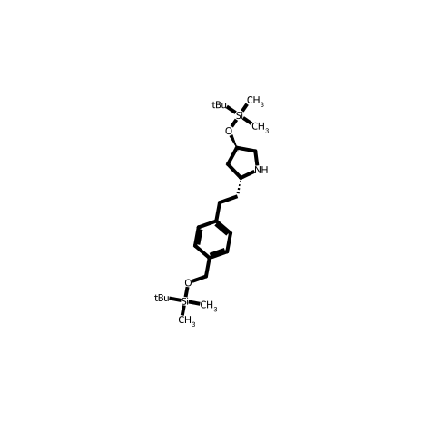 CC(C)(C)[Si](C)(C)OCc1ccc(CC[C@@H]2C[C@@H](O[Si](C)(C)C(C)(C)C)CN2)cc1